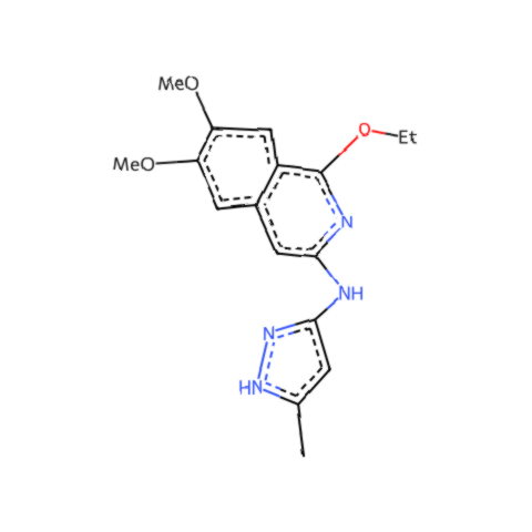 CCOc1nc(Nc2cc(C)[nH]n2)cc2cc(OC)c(OC)cc12